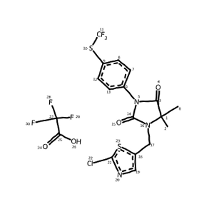 CC1(C)C(=O)N(c2ccc(SC(F)(F)F)cc2)C(=O)N1Cc1cnc(Cl)s1.O=C(O)C(F)(F)F